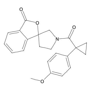 COc1ccc(C2(C(=O)N3CCC4(C3)OC(=O)c3ccccc34)CC2)cc1